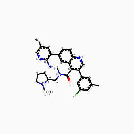 Cc1cc(F)cc(-c2cnc3ccc(-c4cc(C#N)cnc4N)cc3c2C(=O)N(C)C[C@@H]2CCCN2C(=O)O)c1